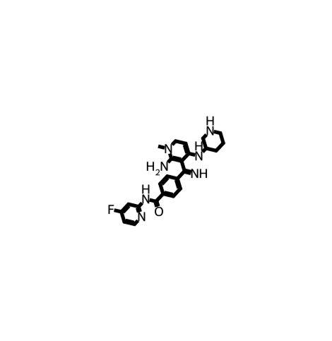 CN1CC=C(NC2CCCNC2)C(C(=N)c2ccc(C(=O)Nc3cc(F)ccn3)cc2)=C1N